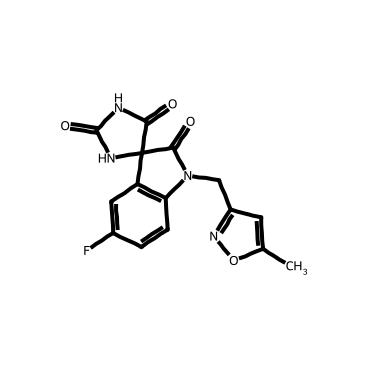 Cc1cc(CN2C(=O)C3(NC(=O)NC3=O)c3cc(F)ccc32)no1